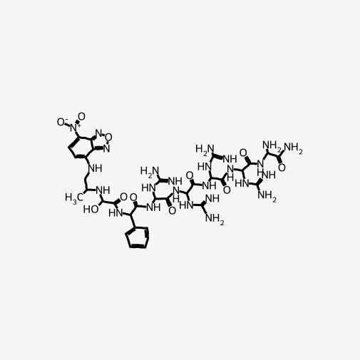 CC(CNc1ccc([N+](=O)[O-])c2nonc12)NC(O)C(=O)NC(C(=O)NC(NC(=N)N)C(=O)NC(NC(=N)N)C(=O)NC(NC(=N)N)C(=O)NC(NC(=N)N)C(=O)NC(N)C(N)=O)c1ccccc1